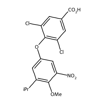 COc1c(C(C)C)cc(Oc2c(Cl)cc(C(=O)O)cc2Cl)cc1[N+](=O)[O-]